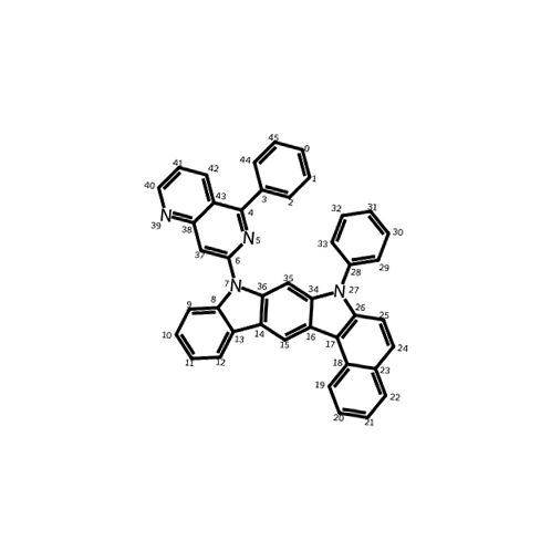 c1ccc(-c2nc(-n3c4ccccc4c4cc5c6c7ccccc7ccc6n(-c6ccccc6)c5cc43)cc3ncccc23)cc1